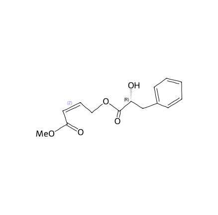 COC(=O)/C=C\COC(=O)[C@H](O)Cc1ccccc1